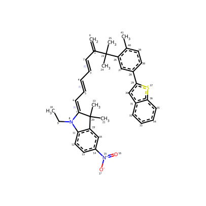 C=C(/C=C/C=C/C=C1/N(CC)c2ccc([N+](=O)[O-])cc2C1(C)C)C(C)(C)c1cc(-c2cc3ccccc3s2)ccc1C